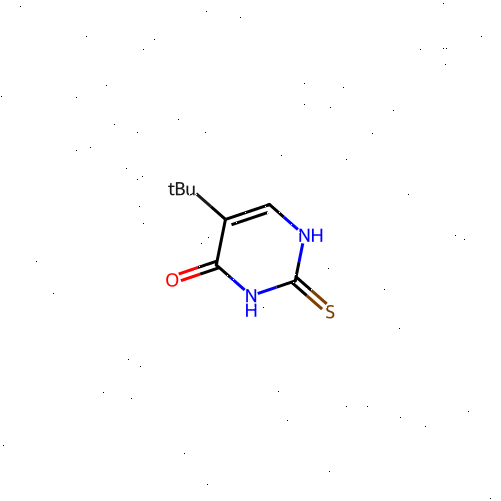 CC(C)(C)c1c[nH]c(=S)[nH]c1=O